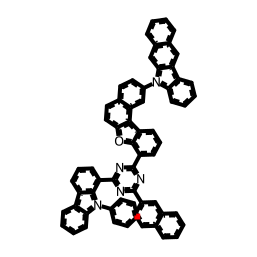 c1ccc(-n2c3ccccc3c3cccc(-c4nc(-c5ccc6ccccc6c5)nc(-c5cccc6c5oc5ccc7ccc(-n8c9ccccc9c9cc%10ccccc%10cc98)cc7c56)n4)c32)cc1